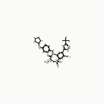 CC(C)(C)c1nc(-c2cc3c(cc2F)S(=O)(=O)C[C@H](N)C(=O)N3Cc2ccc(OC3CCCC3)cc2)no1